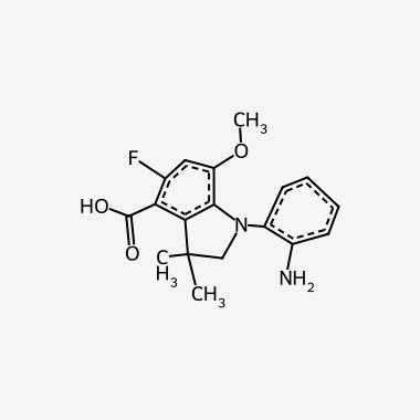 COc1cc(F)c(C(=O)O)c2c1N(c1ccccc1N)CC2(C)C